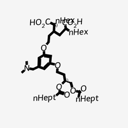 CCCCCCCC(=O)OC[C@H](CCOc1cc(CN(C)C)cc(OCCC(CC(CCCCCC)C(=O)O)[C@H](CCCCCC)C(=O)O)c1)OC(=O)CCCCCCC